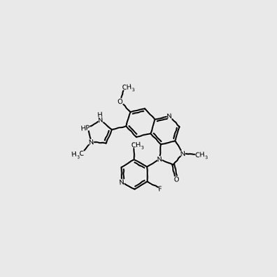 COc1cc2ncc3c(c2cc1C1=CN(C)PN1)n(-c1c(C)cncc1F)c(=O)n3C